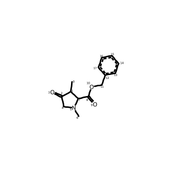 CC1C(=O)CN(C)C1C(=O)OCc1ccccc1